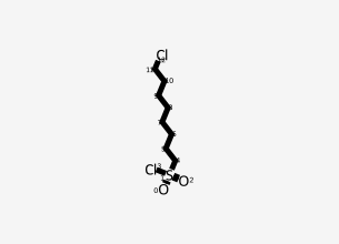 O=S(=O)(Cl)CCCCCCCCCl